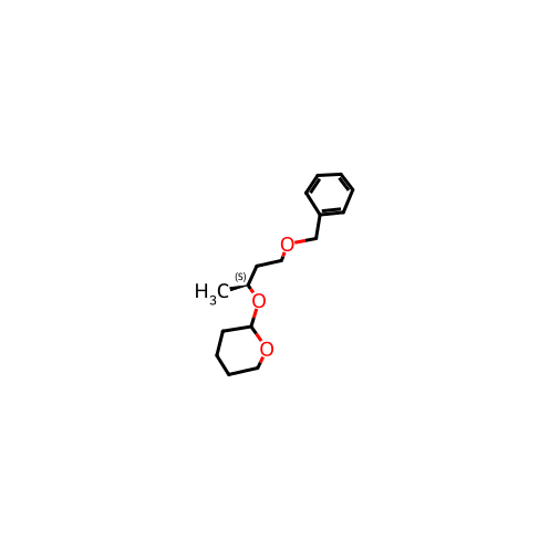 C[C@@H](CCOCc1ccccc1)OC1CCCCO1